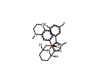 CN1CCOc2ccc(C(=O)N3[C@@H]4CCC[C@H]3c3nn(C)c(-c5cc(F)cc(F)c5)c3C4)cc21